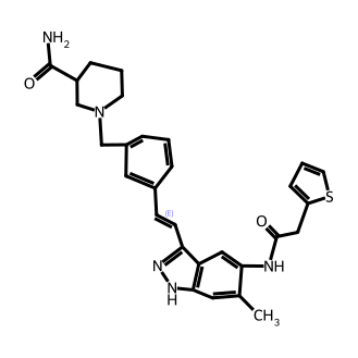 Cc1cc2[nH]nc(/C=C/c3cccc(CN4CCCC(C(N)=O)C4)c3)c2cc1NC(=O)Cc1cccs1